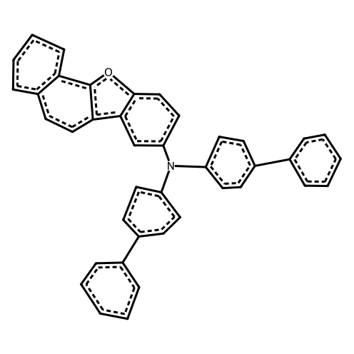 c1ccc(-c2ccc(N(c3ccc(-c4ccccc4)cc3)c3ccc4oc5c6ccccc6ccc5c4c3)cc2)cc1